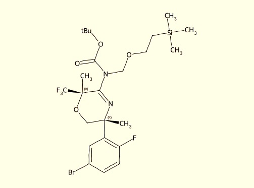 CC(C)(C)OC(=O)N(COCC[Si](C)(C)C)C1=N[C@](C)(c2cc(Br)ccc2F)CO[C@@]1(C)C(F)(F)F